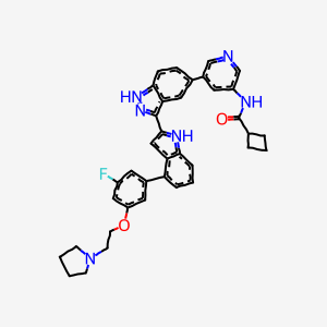 O=C(Nc1cncc(-c2ccc3[nH]nc(-c4cc5c(-c6cc(F)cc(OCCN7CCCC7)c6)cccc5[nH]4)c3c2)c1)C1CCC1